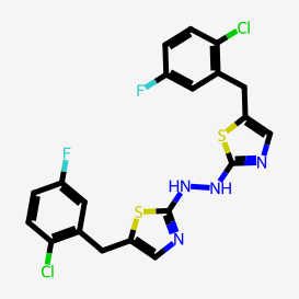 Fc1ccc(Cl)c(Cc2cnc(NNc3ncc(Cc4cc(F)ccc4Cl)s3)s2)c1